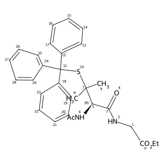 CCOC(=O)CNC(=O)[C@@H](NC(C)=O)C(C)(C)SC(c1ccccc1)(c1ccccc1)c1ccccc1